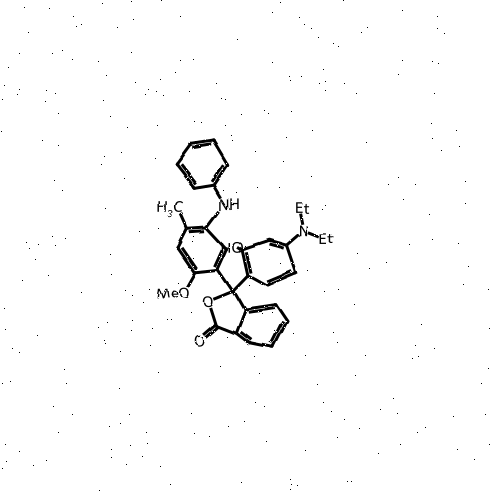 CCN(CC)c1ccc(C2(c3cc(Nc4ccccc4)c(C)cc3OC)OC(=O)c3ccccc32)c(O)c1